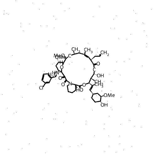 C=CC[C@@H]1/C=C(\C)C[C@H](C)C[C@H](OC)[C@H]2O[C@@](NCc3cccc(Cl)c3)(C(=O)C(=O)N3CCCC[C@H]3C(=O)O[C@H](/C(C)=C/[C@@H]3CC[C@@H](O)[C@H](OC)C3)[C@H](C)[C@@H](O)CC1=O)[C@H](C)C[C@@H]2OC